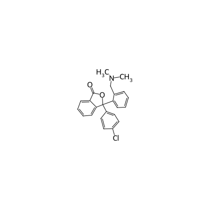 CN(C)Cc1ccccc1C1(c2ccc(Cl)cc2)OC(=O)c2ccccc21